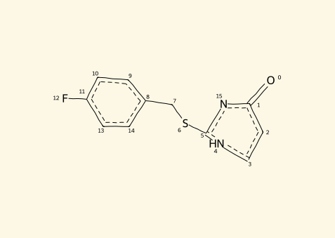 O=c1cc[nH]c(SCc2ccc(F)cc2)n1